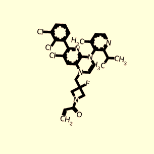 C=CC(=O)N1CC(F)(CN2C=CN(c3c(C)ccnc3C(C)C)c3nc(-c4cccc(Cl)c4Cl)c(Cl)cc32)C1